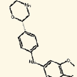 c1cc([C@H]2CNCCO2)ccc1Nc1ccc2c(c1)OCO2